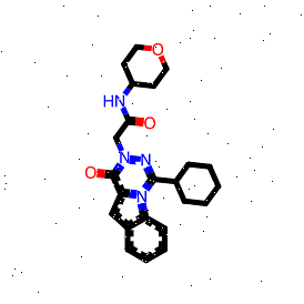 O=C(Cn1nc(C2CCCCC2)n2c(cc3ccccc32)c1=O)NC1CCOCC1